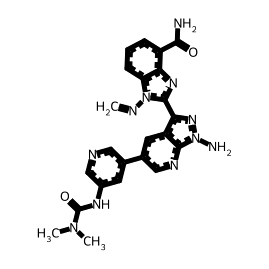 C=Nn1c(-c2nn(N)c3ncc(-c4cncc(NC(=O)N(C)C)c4)cc23)nc2c(C(N)=O)cccc21